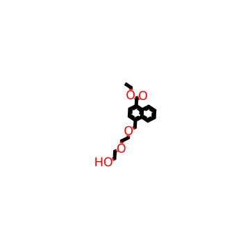 CCOC(=O)c1ccc(COCCOCCO)c2ccccc12